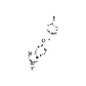 [O-][n+]1cnc2cc(OCc3ccc(F)cc3)ccc2c1